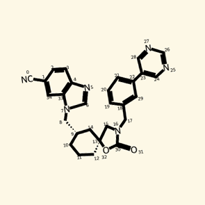 N#Cc1ccc2ncn(C[C@H]3CCC[C@]4(C3)CN(Cc3cccc(-c5cncnc5)c3)C(=O)O4)c2c1